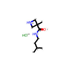 CC(C)CCNC(=O)C1(C)CNC1.Cl